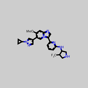 COc1cc2ncc(-c3cccc(NC4CNCC4C(F)(F)F)n3)n2cc1-c1cnn(C2CC2)c1